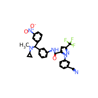 CN(C1CC1)C(c1cccc(NC(=O)c2cc(C(F)(F)F)nn2-c2cccc(C#N)c2)c1)c1cccc([N+](=O)[O-])c1